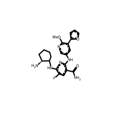 COc1ncc(Nc2nc(NC3CCCC[C@@H]3N)c(F)cc2C(N)=O)cc1-c1ccco1